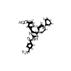 Cl.NCc1ccc(C(=O)Nc2nc(-c3cc(Cl)cs3)c(N3CCN(C4CCCCC4)CC3)s2)cc1